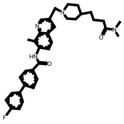 Cc1c(NC(=O)c2ccc(-c3ccc(F)cc3)cc2)ccc2cc(CN3CCC(CCCC(=O)N(C)C)CC3)cnc12